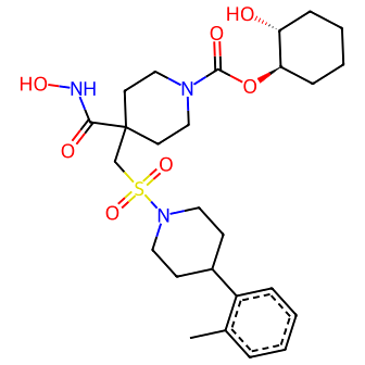 Cc1ccccc1C1CCN(S(=O)(=O)CC2(C(=O)NO)CCN(C(=O)O[C@@H]3CCCC[C@H]3O)CC2)CC1